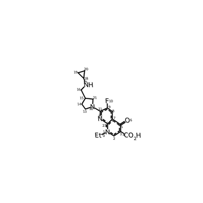 CCn1cc(C(=O)O)c(=O)c2cc(F)c(N3CCC(CNC4CC4)C3)nc21